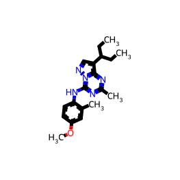 CCC(CC)c1cnn2c(Nc3ccc(OC)cc3C)nc(C)nc12